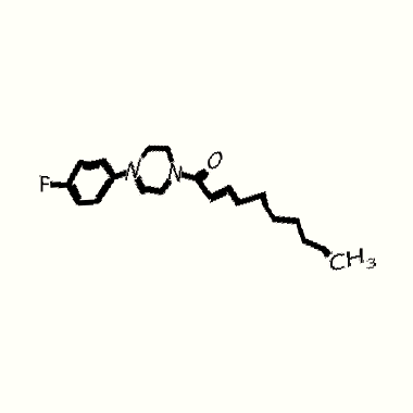 CCCCCCCC=CC(=O)N1CCN(c2ccc(F)cc2)CC1